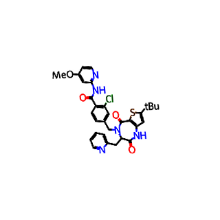 COc1ccnc(NC(=O)c2ccc(CN3C(=O)c4sc(C(C)(C)C)cc4NC(=O)C3Cc3ccccn3)cc2Cl)c1